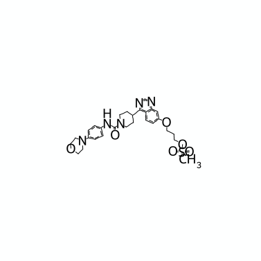 CS(=O)(=O)OCCCOc1ccc2c(C3CCN(C(=O)Nc4ccc(N5CCOCC5)cc4)CC3)ncnc2c1